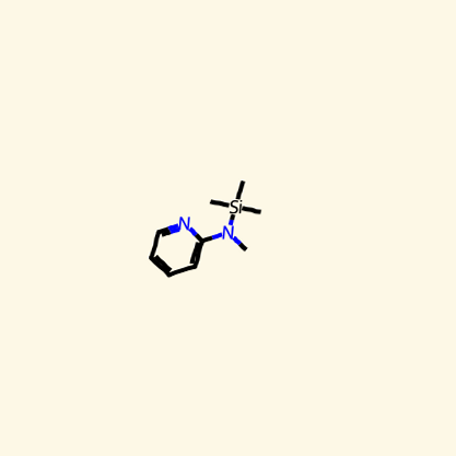 CN(c1ccccn1)[Si](C)(C)C